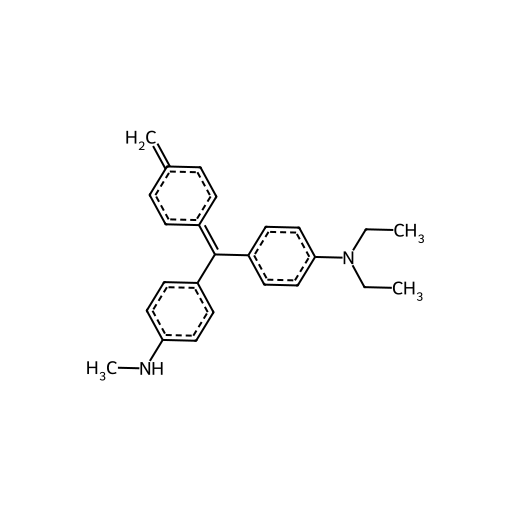 C=c1ccc(=C(c2ccc(NC)cc2)c2ccc(N(CC)CC)cc2)cc1